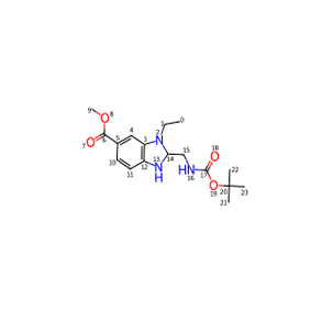 CCN1c2cc(C(=O)OC)ccc2NC1CNC(=O)OC(C)(C)C